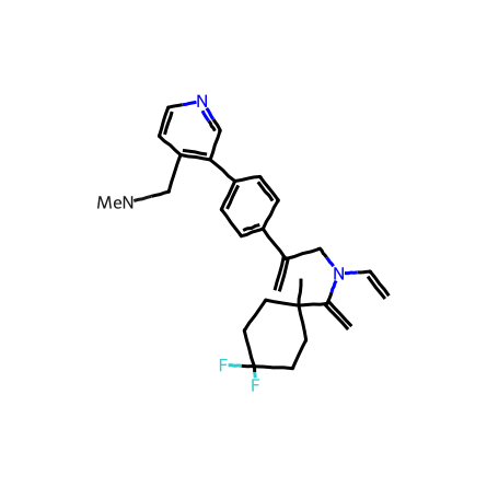 C=CN(CC(=C)c1ccc(-c2cnccc2CNC)cc1)C(=C)C1(C)CCC(F)(F)CC1